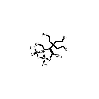 CC(OP(=O)(O)OP(=O)(O)O)=C(CCBr)C(CCBr)(CCBr)CCBr